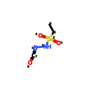 CCS(=O)(=O)NN=C=O